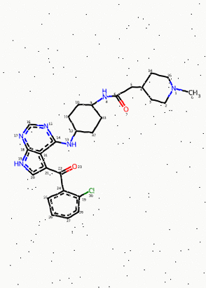 CN1CCC(CC(=O)NC2CCC(Nc3ncnc4[nH]cc(C(=O)c5ccccc5Cl)c34)CC2)CC1